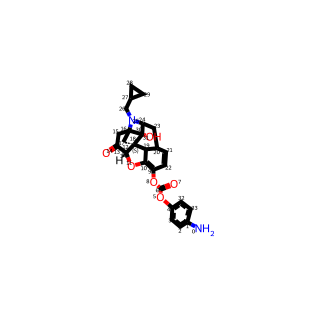 Nc1ccc(OC(=O)OC2=C3O[C@H]4C(=O)CC56C[C@]47C3C(C=C2)CC(N5CC2CC2)C67O)cc1